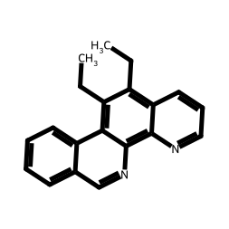 CCc1c(CC)c2c3ccccc3cnc2c2ncccc12